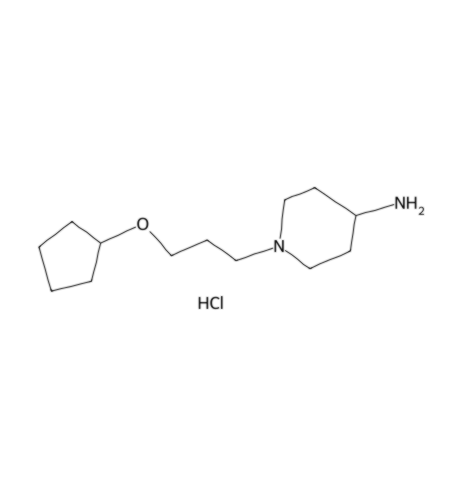 Cl.NC1CCN(CCCOC2CCCC2)CC1